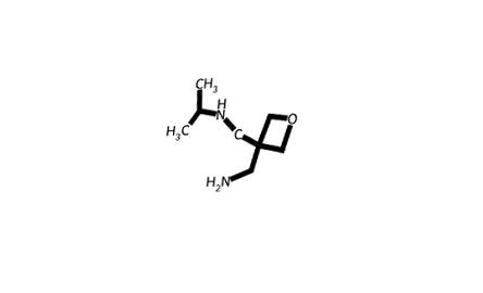 CC(C)NCC1(CN)COC1